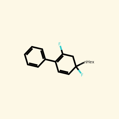 CCCCCCC1(F)C=CC(c2ccccc2)=C(F)C1